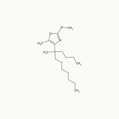 CCCCCCCC(C)(CCCC)c1nc(OC)oc1C